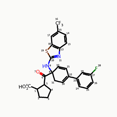 O=C(O)C1CCCC1C(=O)C1(Nc2nc3ccc(C(F)(F)F)cc3s2)C=CC(c2cccc(F)c2)=CC1